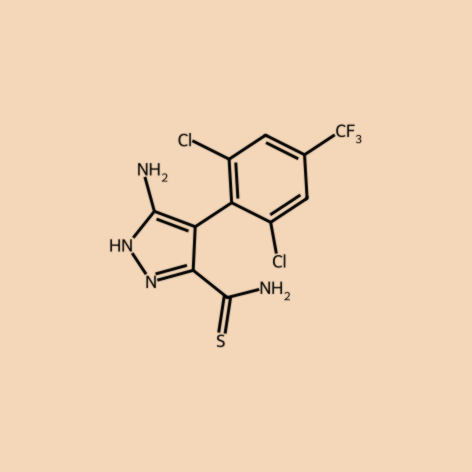 NC(=S)c1n[nH]c(N)c1-c1c(Cl)cc(C(F)(F)F)cc1Cl